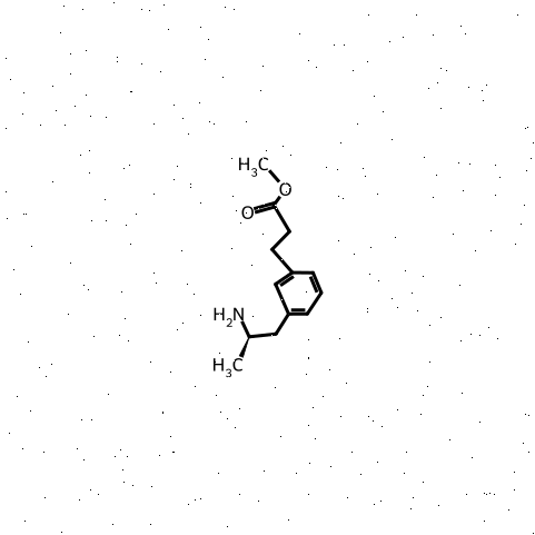 COC(=O)CCc1cccc(C[C@@H](C)N)c1